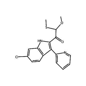 COC(SC)C(=O)c1[nH]c2cc(Cl)ccc2c1-c1ccccn1